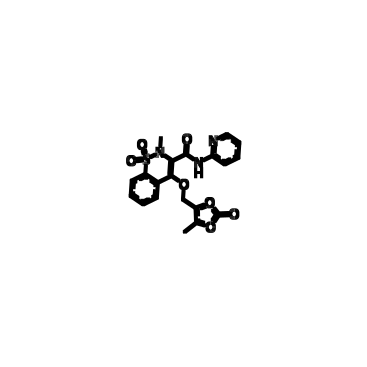 Cc1oc(=O)oc1COC1=C(C(=O)Nc2ccccn2)N(C)S(=O)(=O)c2ccccc21